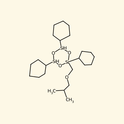 CC(C)COC[Si]1(C2CCCCC2)O[SiH](C2CCCCC2)O[SiH](C2CCCCC2)O1